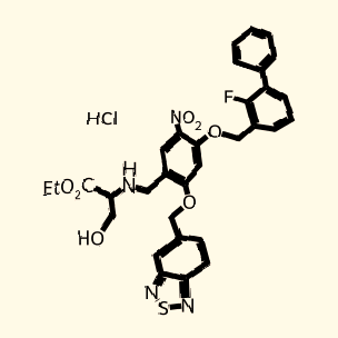 CCOC(=O)C(CO)NCc1cc([N+](=O)[O-])c(OCc2cccc(-c3ccccc3)c2F)cc1OCc1ccc2nsnc2c1.Cl